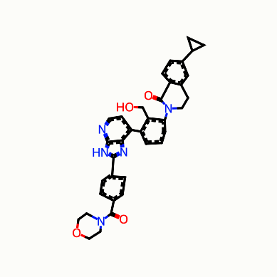 O=C(c1ccc(-c2nc3c(-c4cccc(N5CCc6cc(C7CC7)ccc6C5=O)c4CO)ccnc3[nH]2)cc1)N1CCOCC1